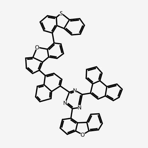 c1ccc2c(c1)cc(-c1nc(-c3ccc(-c4cccc5oc6c(-c7cccc8sc9ccccc9c78)cccc6c45)c4ccccc34)nc(-c3cccc4oc5ccccc5c34)n1)c1ccccc12